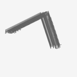 Cl.Cl.Cl.Cl.Cl.Cl.Cl.Cl.Cl.Cl.Cl.Cl.Cl.Cl.Cl.Cl.Cl.Cl.Cl.Cl.Cl.Cl.Cl.Cl.Cl.Cl.Cl.Cl.Cl.Cl.Cl.Cl.Cl.Cl.Cl.Cl.Cl.Cl.Cl.Cl.Cl.Cl.Cl.Cl.Cl.Cl.Cl.Cl.Cl.Cl.Cl.Cl.Cl.Cl.Cl.Cl.Cl.Cl.Cl.Cl.Cl.Cl.Cl.Cl.Cl.Cl.Cl.Cl.Cl.Cl.Cl.Cl.Cl.[Ca+2].[Cl-].[Cl-]